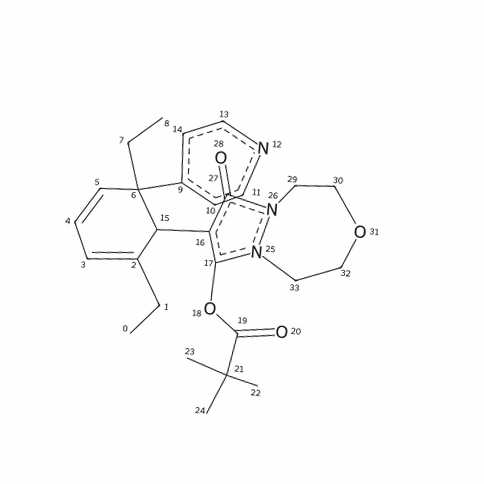 CCC1=CC=CC(CC)(c2ccncc2)C1c1c(OC(=O)C(C)(C)C)n2n(c1=O)CCOCC2